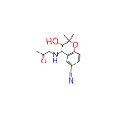 CC(=O)CNC1c2cc(C#N)ccc2OC(C)(C)C1O